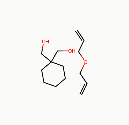 C=CCOCC=C.OCC1(CO)CCCCC1